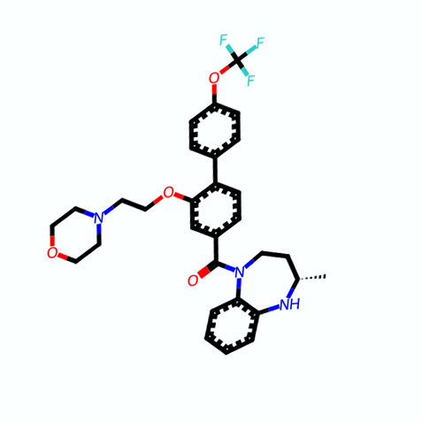 C[C@H]1CCN(C(=O)c2ccc(-c3ccc(OC(F)(F)F)cc3)c(OCCN3CCOCC3)c2)c2ccccc2N1